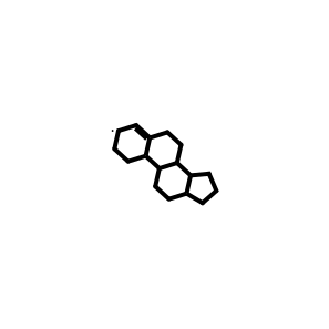 [CH]1C=C2CCC3C4CCCC4CCC3C2CC1